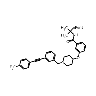 CCCCCC(C)(C)NC(=O)c1cccc(OC2CCN(Cc3cccc(C#Cc4ccc(C(F)(F)F)cc4)c3)CC2)c1